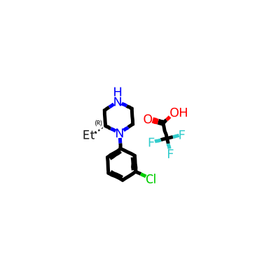 CC[C@@H]1CNCCN1c1cccc(Cl)c1.O=C(O)C(F)(F)F